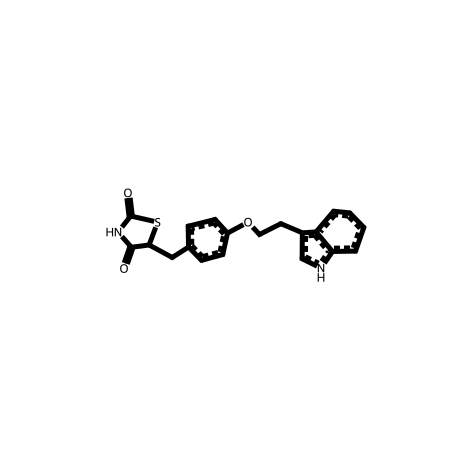 O=C1NC(=O)C(Cc2ccc(OCCc3c[nH]c4ccccc34)cc2)S1